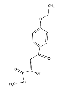 CCOc1ccc(C(=O)C=C(O)C(=O)OC)cc1